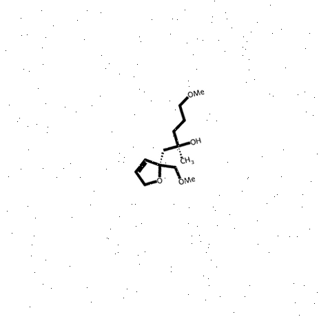 COCCC[C@@](C)(O)C[C@@]1(COC)C=CCO1